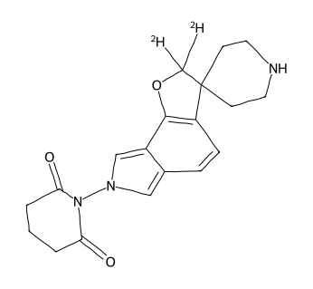 [2H]C1([2H])Oc2c(ccc3cn(N4C(=O)CCCC4=O)cc23)C12CCNCC2